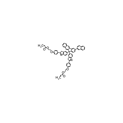 C=CC(=O)OCCOc1ccc(C2=Nc3ccc(C4(c5ccc6c(c5)CC(c5ccc(OCCOC(=O)C=C)cc5)=N6)c5ccc(-c6ccc7ccccc7c6)cc5-c5cc6ccccc6cc54)cc3C2)cc1